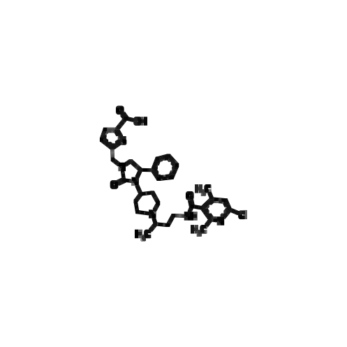 Cc1cc(Cl)nc(C)c1C(=O)NCCC(C)N1CCC(N2C(=O)N(Cc3ccc(C(=O)O)s3)CC2c2ccccc2)CC1